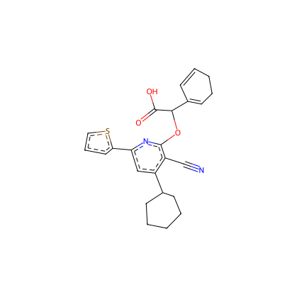 N#Cc1c(C2CCCCC2)cc(-c2cccs2)nc1OC(C(=O)O)C1=CCCC=C1